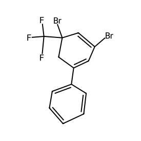 FC(F)(F)C1(Br)C=C(Br)C=C(c2ccccc2)C1